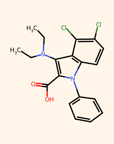 CCN(CC)c1c(C(=O)O)n(-c2ccccc2)c2ccc(Cl)c(Cl)c12